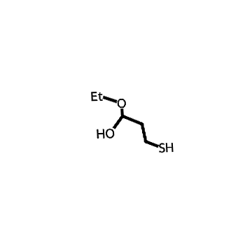 CCOC(O)CCS